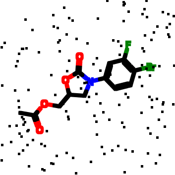 CC(=O)OCC1CN(c2ccc(Br)c(F)c2)C(=O)O1